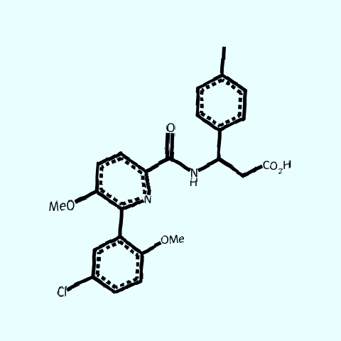 COc1ccc(Cl)cc1-c1nc(C(=O)NC(CC(=O)O)c2ccc(C)cc2)ccc1OC